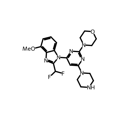 COc1cccc2c1nc(C(F)F)n2-c1cc(N2CCNCC2)nc(N2CCOCC2)n1